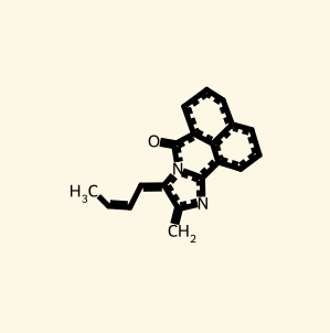 C=c1nc2c3cccc4cccc(c(=O)n2/c1=C/C=C\C)c43